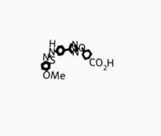 COc1ccc2nc(Nc3ccc(-c4cnc(OC5CCC(C(=O)O)CC5)nc4)cc3)sc2c1